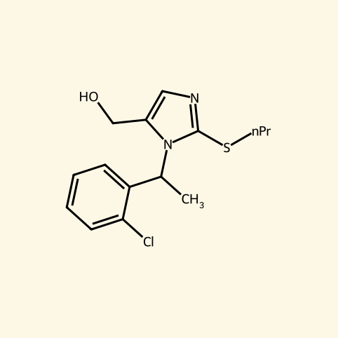 CCCSc1ncc(CO)n1C(C)c1ccccc1Cl